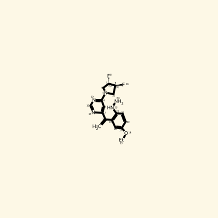 C=C(c1cc(N2C[C@H](F)[C@@H](F)C2)ncn1)c1cc(OCC)ccc1NN